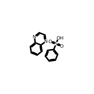 O=S(=O)(O)c1ccccc1.c1ccc2nccnc2c1